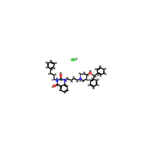 Cl.O=c1c2ccccc2n(CCCCN2CCC(OC(c3ccccc3)c3ccccc3)CC2)c(=O)n1CCCc1ccccc1